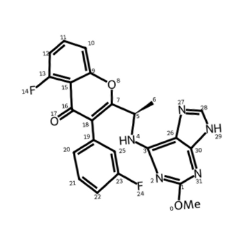 COc1nc(N[C@H](C)c2oc3cccc(F)c3c(=O)c2-c2cccc(F)c2)c2nc[nH]c2n1